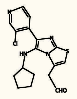 O=CCc1csc2nc(-c3ccncc3Cl)c(NC3CCCC3)n12